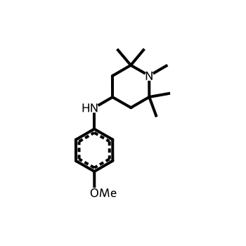 COc1ccc(NC2CC(C)(C)N(C)C(C)(C)C2)cc1